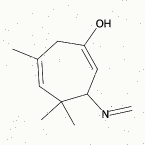 C=NC1C=C(O)CC(C)=CC1(C)C